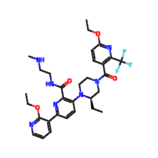 CCOc1ccc(C(=O)N2CCN(c3ccc(-c4cccnc4OCC)nc3C(=O)NCCNC)[C@H](CC)C2)c(C(F)(F)F)n1